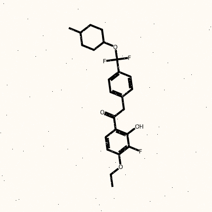 CCOc1ccc(C(=O)Cc2ccc(C(F)(F)OC3CCC(C)CC3)cc2)c(O)c1F